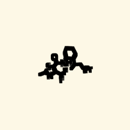 Cc1nc(C(F)F)c(C(=O)Nc2ccccc2C(C)CC(C)C)s1